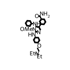 CCN(CC)CCOc1ccc(Nc2ncc(-c3cccc(C(N)=O)c3)c(Nc3ccccc3OC)n2)cc1